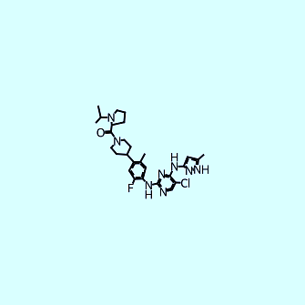 Cc1cc(Nc2nc(Nc3cc(C)c(C4CCN(C(=O)C5CCCN5C(C)C)CC4)cc3F)ncc2Cl)n[nH]1